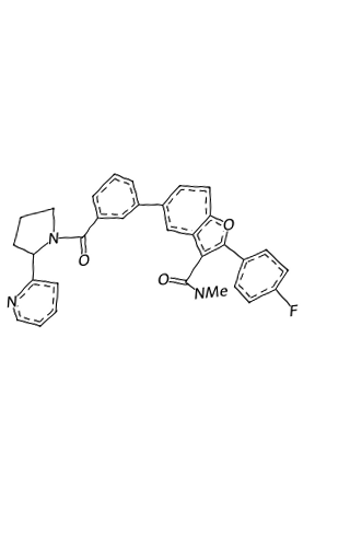 CNC(=O)c1c(-c2ccc(F)cc2)oc2ccc(-c3cccc(C(=O)N4CCCC4c4ccccn4)c3)cc12